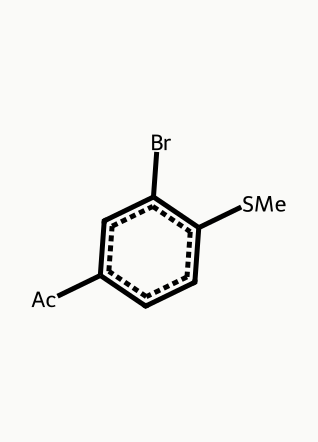 CSc1ccc(C(C)=O)cc1Br